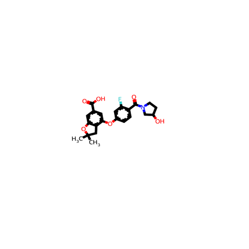 CC1(C)Cc2c(Oc3ccc(C(=O)N4CCC(O)C4)c(F)c3)cc(C(=O)O)cc2O1